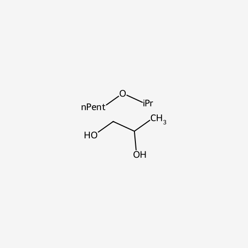 CC(O)CO.CCCCCOC(C)C